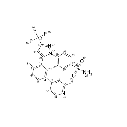 Cc1cc(-c2ccc(C)c(-c3cc(C(F)(F)F)nn3-c3ccc(S(N)(=O)=O)cc3)c2)ccn1